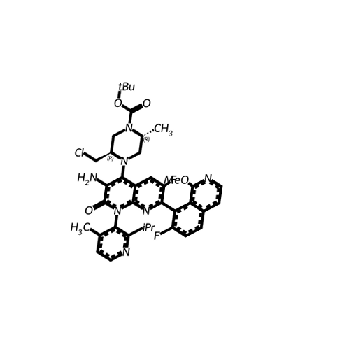 COc1nccc2ccc(F)c(-c3nc4c(cc3F)c(N3C[C@@H](C)N(C(=O)OC(C)(C)C)C[C@@H]3CCl)c(N)c(=O)n4-c3c(C)ccnc3C(C)C)c12